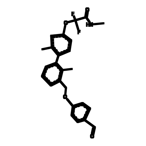 CNC(=O)C(F)(F)Oc1ccc(-c2cccc(COc3ccc(C=O)cc3)c2C)c(C)c1